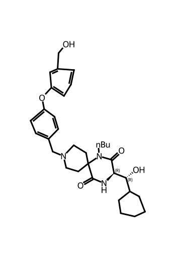 CCCCN1C(=O)[C@@H]([C@H](O)C2CCCCC2)NC(=O)C12CCN(Cc1ccc(Oc3cccc(CO)c3)cc1)CC2